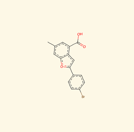 Cc1cc(C(=O)O)c2cc(-c3ccc(Br)cc3)oc2c1